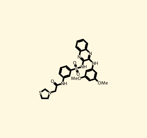 COc1cc(Nc2nc3ccccc3nc2NS(=O)(=O)c2cccc(NC(=O)CN3CCSC3)c2)cc(OC)c1